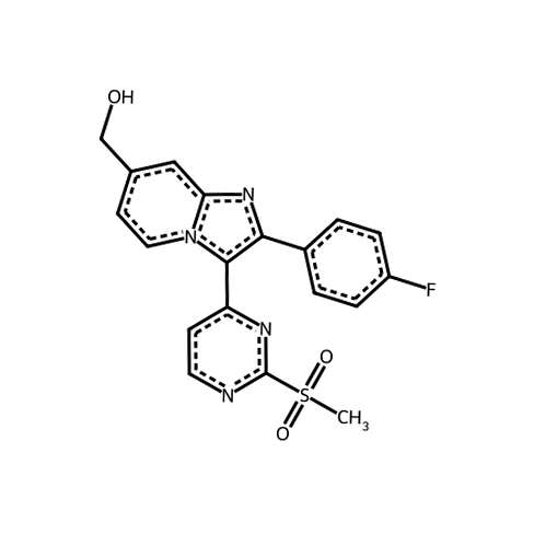 CS(=O)(=O)c1nccc(-c2c(-c3ccc(F)cc3)nc3cc(CO)ccn23)n1